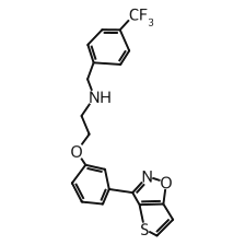 FC(F)(F)c1ccc(CNCCOc2cccc(-c3noc4ccsc34)c2)cc1